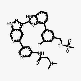 CN(C)CC(=O)Nc1cncc(-c2cc3c(-c4nc5c(-c6cc(F)cc(CNS(C)(=O)=O)c6)cccc5[nH]4)n[nH]c3cn2)c1